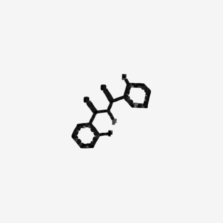 O=C(c1ccccc1F)C(F)C(=O)c1ccccc1F